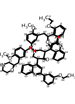 CCOc1cccc(-c2cc(C(CN=Nc3ccc(OC)c(CC4CNCCO4)c3)C(=O)C(CN=Nc3ccc(OC)c(CC4CNCCO4)c3)c3cc(-c4cccc(OCC)c4)nc4ccccc34)c3ccccc3n2)c1